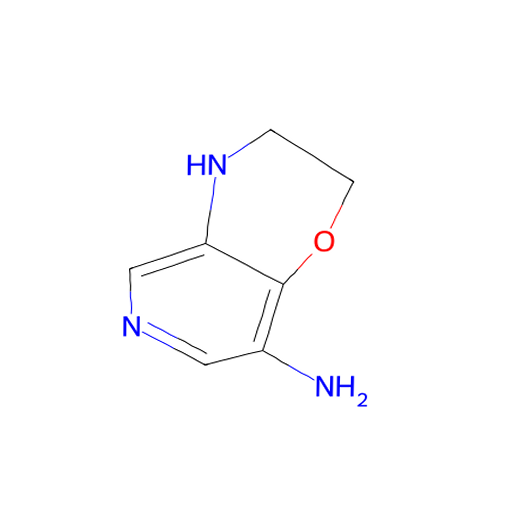 Nc1cncc2c1OCCN2